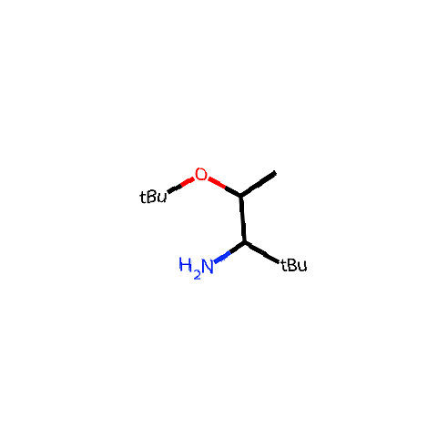 CC(OC(C)(C)C)C(N)C(C)(C)C